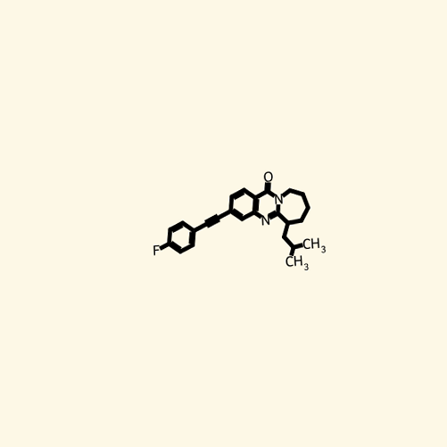 CC(C)CC1CCCCn2c1nc1cc(C#Cc3ccc(F)cc3)ccc1c2=O